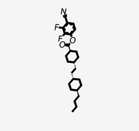 CCCC[C@H]1CC[C@H](CC[C@H]2CC[C@H](C(=O)Oc3ccc(C#N)c(F)c3F)CC2)CC1